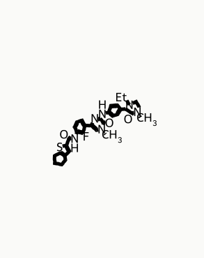 CCN1CCN(C)C(=O)C1c1ccc(Nc2nc(-c3cccc(NC(=O)c4cc5c(s4)CCCC5)c3F)cn(C)c2=O)cc1